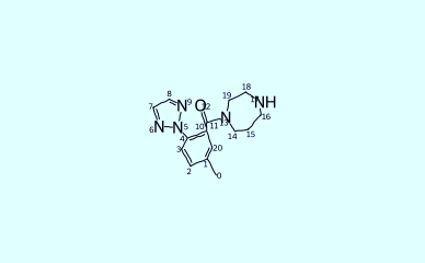 Cc1ccc(-n2nccn2)c(C(=O)N2CCCNCC2)c1